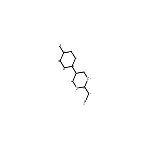 CC1CCC(C2COC(CF)OC2)CC1